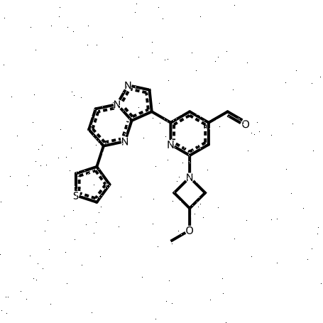 COC1CN(c2cc(C=O)cc(-c3cnn4ccc(-c5ccsc5)nc34)n2)C1